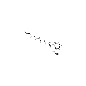 CCCCCCCCCCC=Cc1ccccc1CO